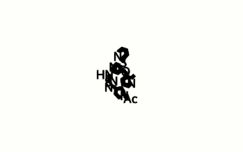 CC(=O)N1CCC(c2nsc(Nc3cc(Oc4cccnc4C)c(Sc4ccccn4)cn3)n2)CC1